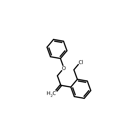 C=C(COc1ccccc1)c1ccccc1CCl